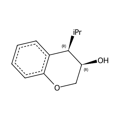 CC(C)[C@@H]1c2ccccc2OC[C@@H]1O